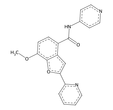 COc1ccc(C(=O)Nc2ccncc2)c2cc(-c3ccccn3)oc12